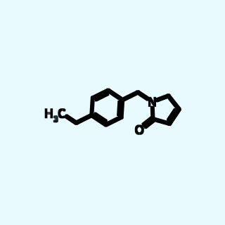 CCc1ccc(CN2CC=CC2=O)cc1